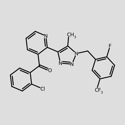 Cc1c(-c2ncccc2C(=O)c2ccccc2Cl)nnn1Cc1cc(C(F)(F)F)ccc1F